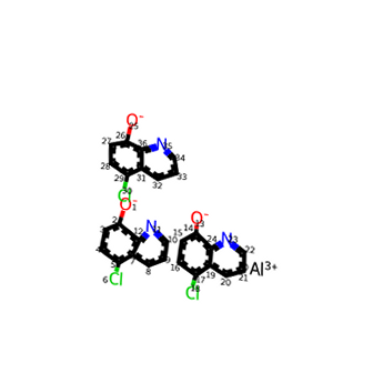 [Al+3].[O-]c1ccc(Cl)c2cccnc12.[O-]c1ccc(Cl)c2cccnc12.[O-]c1ccc(Cl)c2cccnc12